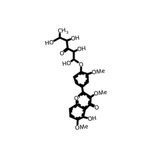 COc1cc(-c2oc3ccc(OC)c(O)c3c(=O)c2OC)ccc1OC(O)C(O)C(=O)C(O)C(C)O